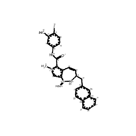 Cn1cc2c(c1C(=O)Nc1ccc(F)c(C#N)c1)C=CC(Cc1ccc3ccccc3c1)NS2=N